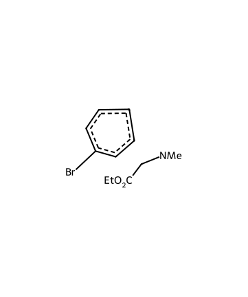 Brc1ccccc1.CCOC(=O)CNC